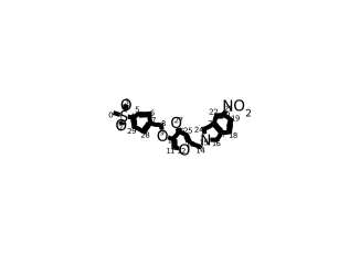 CS(=O)(=O)c1ccc(COc2coc(CN3Cc4ccc([N+](=O)[O-])cc4C3)cc2=O)cc1